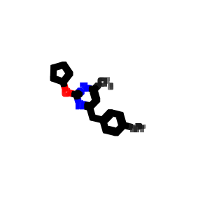 CCCc1ccc(Cc2cc(C(F)(F)F)nc(OC3CCCC3)n2)cc1